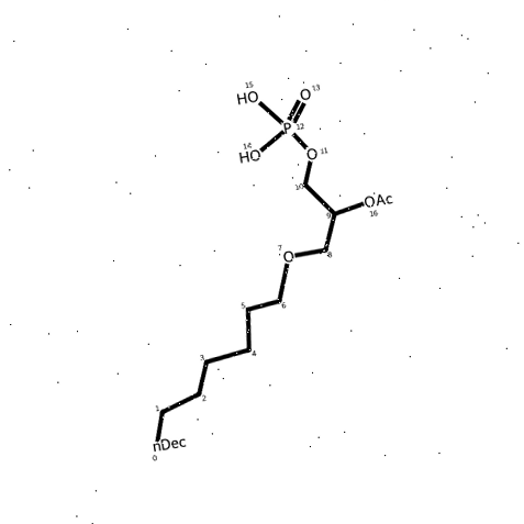 CCCCCCCCCCCCCCCCOCC(COP(=O)(O)O)OC(C)=O